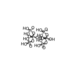 O=P(O)(O)OP(=O)(O)OP(=O)(O)O.O=P(O)(O)OP(=O)(O)OP(=O)(O)O